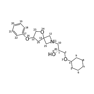 O[C@@H](COC1CCCCC1)CN1CC2(CC(Oc3ccccc3)CO2)C1